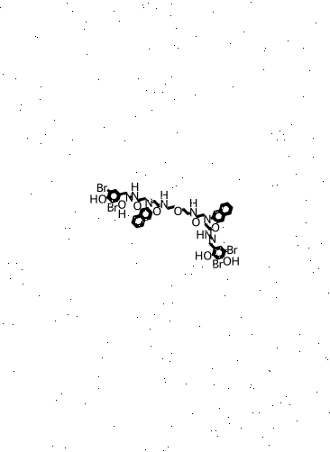 O=C(CN(CC(=O)N/N=C/c1cc(Br)c(O)c(Br)c1O)c1ccc2ccccc2c1)NCCOCCNC(=O)CN(CC(=O)N/N=C/c1cc(Br)c(O)c(Br)c1O)c1ccc2ccccc2c1